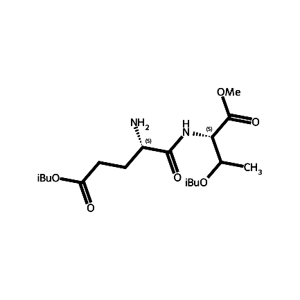 COC(=O)[C@@H](NC(=O)[C@@H](N)CCC(=O)OCC(C)C)C(C)OCC(C)C